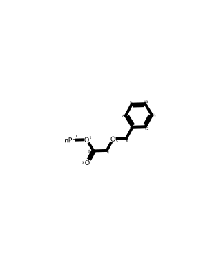 CCCOC(=O)COCc1ccccc1